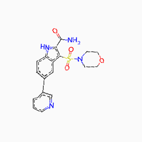 NC(=O)c1[nH]c2ccc(-c3cccnc3)cc2c1S(=O)(=O)N1CCOCC1